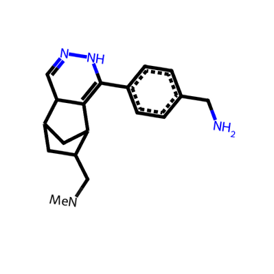 CNCC1CC2CC1C1=C(c3ccc(CN)cc3)NN=CC12